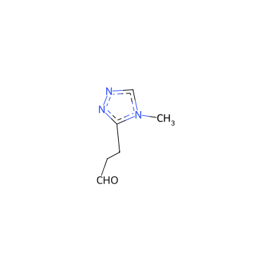 Cn1cnnc1CCC=O